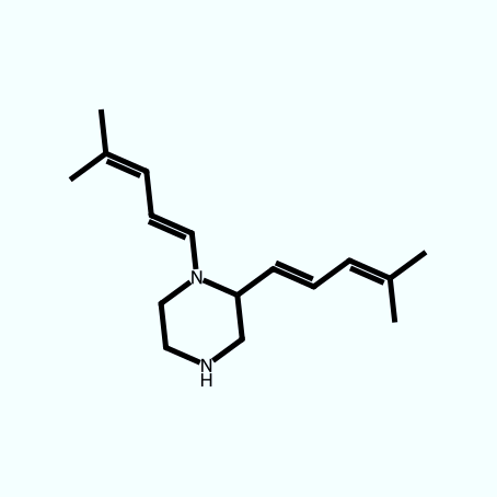 CC(C)=CC=CC1CNCCN1C=CC=C(C)C